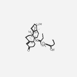 CCC(=O)O.CCC(=O)O.C[C@]12CC[C@H]3[C@@H](CCC4=CC(=O)CC[C@@]43C)[C@@H]1CC[C@@H]2O